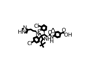 COc1cc(C(=O)O)ccc1NC(=O)[C@@H]1NC(CC(C)(C)C)[C@@]2(CN(CCCc3c[nH]cn3)c3cc(Cl)ccc32)[C@H]1c1cccc(Cl)c1F